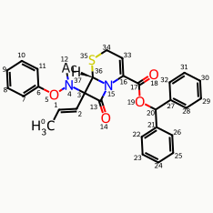 CC=CC1(N(Oc2ccccc2)C(C)=O)C(=O)N2C(C(=O)OC(c3ccccc3)c3ccccc3)=CCS[C@H]21